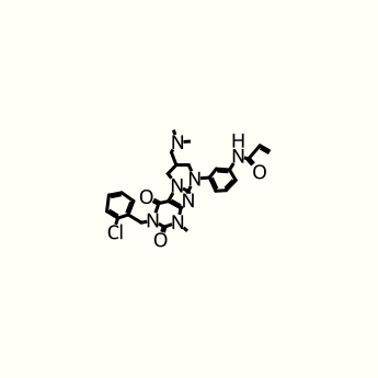 C=CC(=O)Nc1cccc(N2CC(CN(C)C)Cn3c2nc2c3c(=O)n(Cc3ccccc3Cl)c(=O)n2C)c1